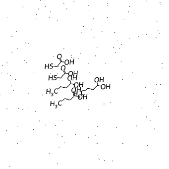 CCCC(O)O.CCCC(O)O.CCCC(O)O.O=C(O)CS.O=C(O)CS